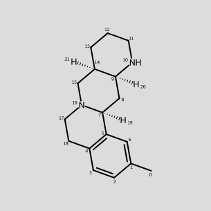 Cc1ccc2c(c1)[C@@H]1C[C@@H]3NCCC[C@@H]3CN1CC2